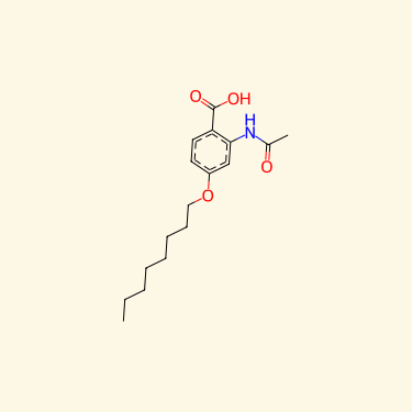 CCCCCCCCOc1ccc(C(=O)O)c(NC(C)=O)c1